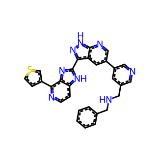 c1ccc(CNCc2cncc(-c3cnc4[nH]nc(-c5nc6c(-c7ccsc7)nccc6[nH]5)c4c3)c2)cc1